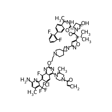 C=CC(=O)N1CCN(c2nc(OCCN3CCC4(CC3)CN(c3cc([C@H](C(=O)N5C[C@H](O)C[C@H]5C(=O)N[C@@H](C)c5ccc(-c6c(F)cccc6F)cc5)C(C)C)on3)C4)nc3c(F)c(-c4nc(N)cc(C)c4C(F)(F)F)c(Cl)cc23)[C@@H](C)C1